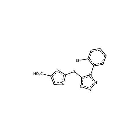 CCc1ccccc1-n1nnnc1Sc1ncc(C(=O)O)s1